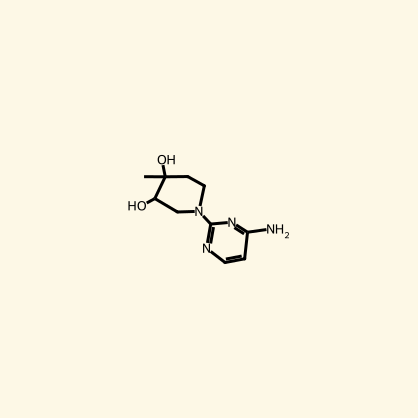 CC1(O)CCN(c2nccc(N)n2)CC1O